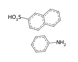 Nc1ccccc1.O=S(=O)(O)c1ccc2ccccc2c1